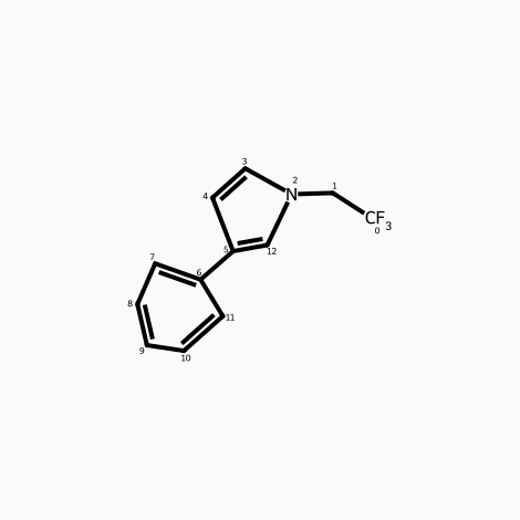 FC(F)(F)Cn1ccc(-c2ccccc2)c1